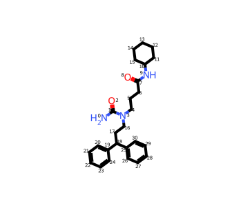 NC(=O)N(CCCC(=O)NC1CCCCC1)CCC(c1ccccc1)c1ccccc1